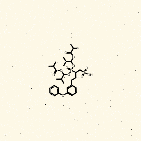 CC(C)C(=O)OC(OP(=O)(OC(OC(=O)C(C)C)C(C)C)C(CCc1cccc(Oc2ccccc2)c1)CS(=O)(=O)O)C(C)C